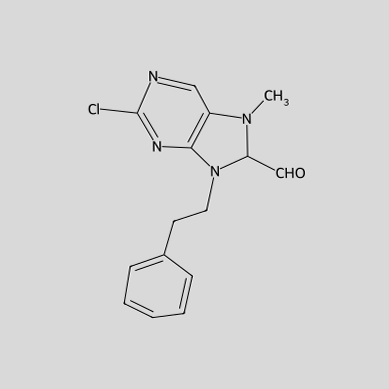 CN1c2cnc(Cl)nc2N(CCc2ccccc2)C1C=O